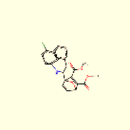 COC(=O)C1=C(C(=O)OC)C2(C(Cc3ccccc3)Nc3ccc(F)cc3)C=CC1O2